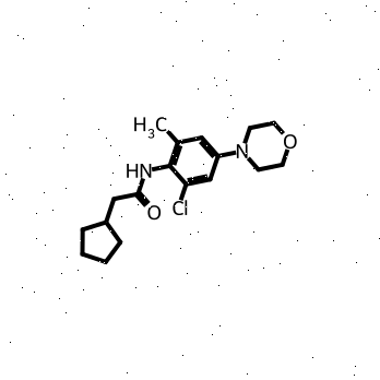 Cc1cc(N2CCOCC2)cc(Cl)c1NC(=O)CC1CCCC1